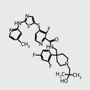 Cc1ccnc(Nc2ncc(Sc3ccnc(C(=O)NCC4(c5ccc(F)cc5F)CCN(CC(C)(C)O)CC4)c3F)s2)c1